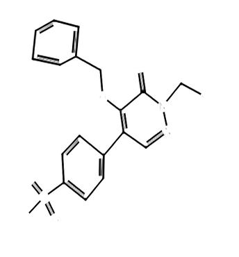 CS(=O)(=O)c1ccc(-c2cnn(CC(F)(F)F)c(=O)c2OCc2ccccc2)cc1